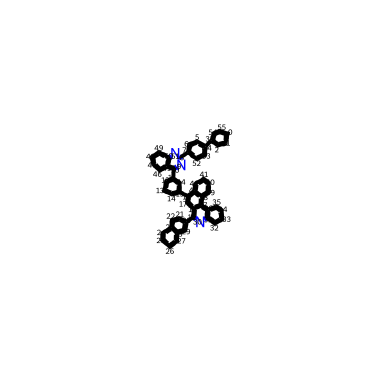 c1ccc(-c2ccc(-c3nc(-c4cccc(-c5cc6c(-c7ccc8ccccc8c7)nc7ccccc7c6c6ccccc56)c4)c4ccccc4n3)cc2)cc1